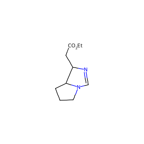 CCOC(=O)CC1N=CN2CCCC12